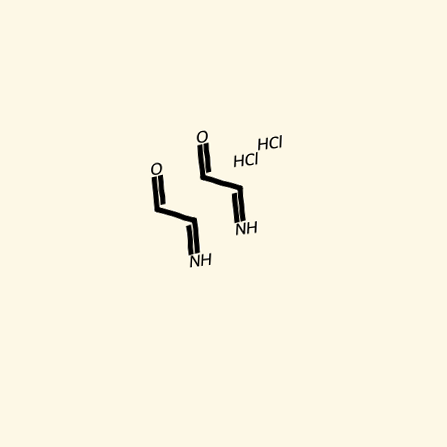 Cl.Cl.N=CC=O.N=CC=O